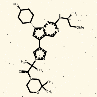 COC[C@H](C)Nc1ncc2c(-c3cnn(C(C)(C)C(=O)N4CCOC(C)(C)C4)c3)cc([C@H]3CC[C@H](O)CC3)n2n1